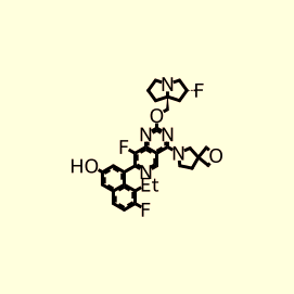 CCc1c(F)ccc2cc(O)cc(-c3ncc4c(N5CCC6(COC6)C5)nc(OC[C@@]56CCCN5C[C@H](F)C6)nc4c3F)c12